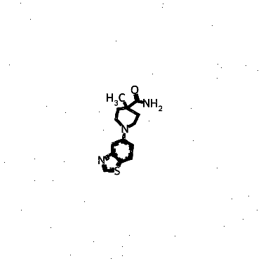 CC1(C(N)=O)CCN(c2ccc3scnc3c2)CC1